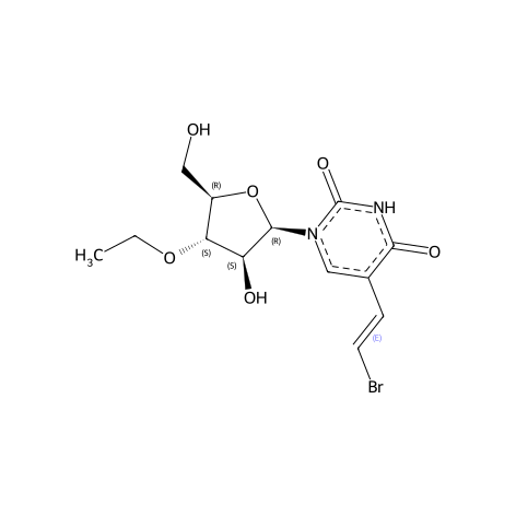 CCO[C@H]1[C@H](O)[C@H](n2cc(/C=C/Br)c(=O)[nH]c2=O)O[C@@H]1CO